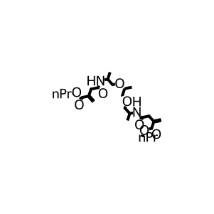 C=C(CC(=O)NC(C)COCC(C)OCC(C)NC(=O)CC(=C)C(=O)OCCC)C(=O)OCCC